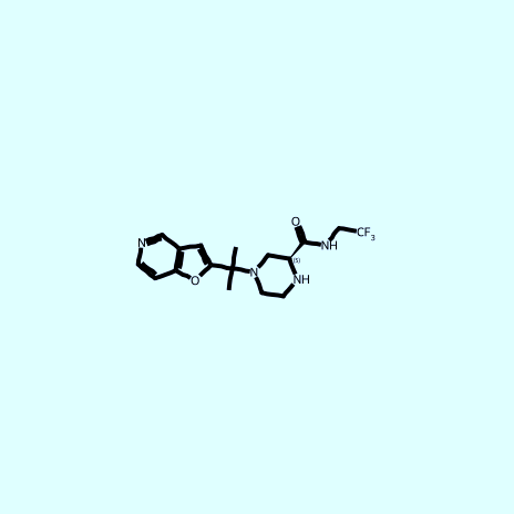 CC(C)(c1cc2cnccc2o1)N1CCN[C@H](C(=O)NCC(F)(F)F)C1